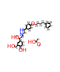 CC(=O)O.OCc1cc([C@@H](O)CNCCc2ccc(OCCCCc3ccccc3)cc2)ccc1O